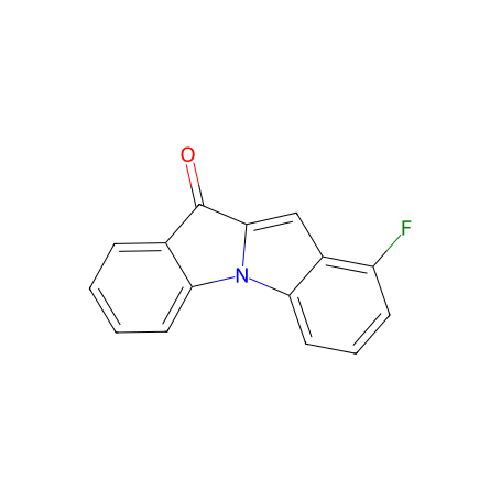 O=C1c2ccccc2-n2c1cc1c(F)cccc12